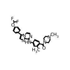 Cc1cc(Nc2nccn3c(-c4ccc(OC(F)F)cc4)cnc23)ccc1C(=O)N1CCN(C)CC1